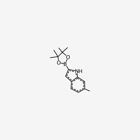 Cc1ccc2cc(B3OC(C)(C)C(C)(C)O3)[nH]c2c1